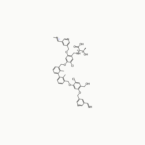 C/N=C/c1cncc(COc2cc(OCc3cccc(-c4cccc(COc5cc(OCc6cncc(C=N)c6)c(CO)cc5Cl)c4C)c3C)c(Cl)cc2CN[C@@H](C(=O)O)[C@@H](C)O)c1